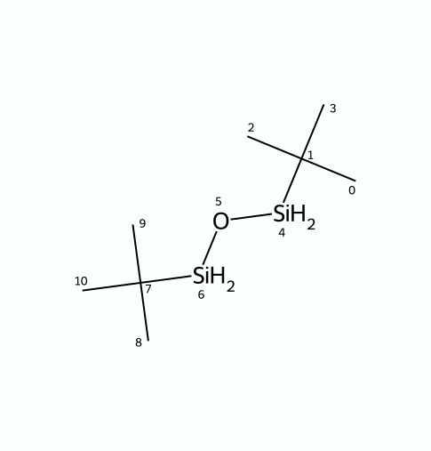 CC(C)(C)[SiH2]O[SiH2]C(C)(C)C